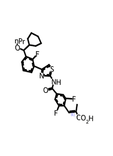 CCCOC(c1cccc(-c2csc(NC(=O)c3cc(F)c(/C=C(\C)C(=O)O)c(F)c3)n2)c1F)C1CCCCC1